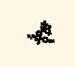 C=CCN(c1cc(-n2nc(C(F)(F)F)c3c2CC(C)(C)CC3=O)ccc1C(N)=O)[C@H]1CC[C@H](O)CC1